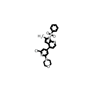 Cc1cc2c(-c3cc(Cl)nc(N4CCOCC4)c3)ccnc2n1S(=O)(=O)c1ccccc1